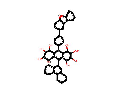 Oc1c(O)c(O)c2c(-c3cc4ccccc4c4ccccc34)c3c(O)c(O)c(O)c(O)c3c(-c3ccc(-c4ccc5oc6ccccc6c5c4)cc3)c2c1O